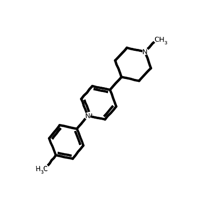 Cc1ccc(-[n+]2ccc(C3CCN(C)CC3)cc2)cc1